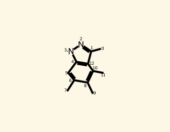 CC1=N[N]c2cc(C)c(C)c(C)c21